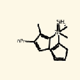 CCCC1=CC(C)[C]([Zr]([CH3])([CH3])(=[SiH2])[C]2=CC=CC2)=C1C